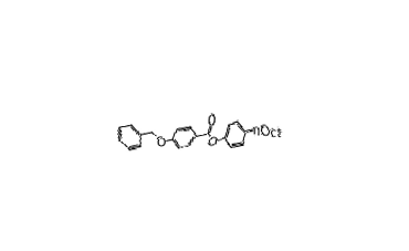 CCCCCCCCc1ccc(OC(=O)c2ccc(OCc3ccccc3)cc2)cc1